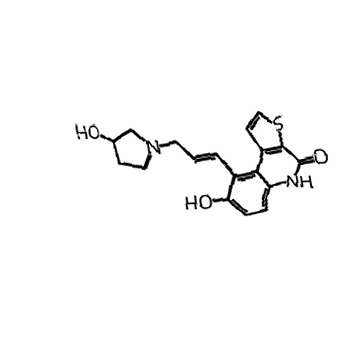 O=c1[nH]c2ccc(O)c(C=CCN3CCC(O)C3)c2c2ccsc12